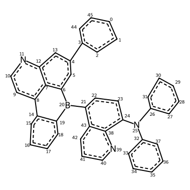 c1ccc(-c2cc3c4c(ccnc4c2)-c2ccccc2B3c2ccc(N(c3ccccc3)c3ccccc3)c3ncccc23)cc1